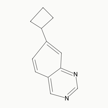 c1ncc2ccc(C3CCC3)cc2n1